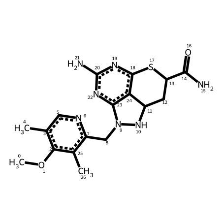 COc1c(C)cnc(CN2NC3CC(C(N)=O)Sc4nc(N)nc2c43)c1C